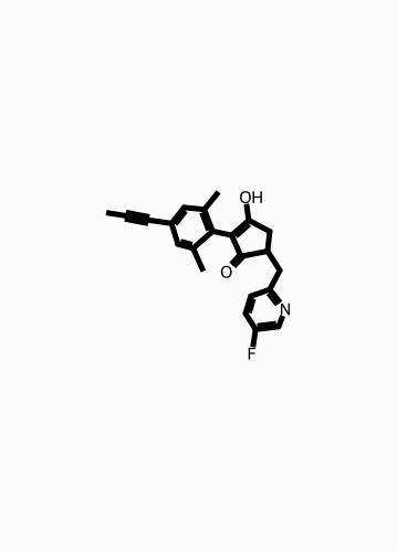 CC#Cc1cc(C)c(C2=C(O)CC(Cc3ccc(F)cn3)C2=O)c(C)c1